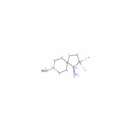 CSN1CCC2(CC1)CCC(F)(F)[C@H]2N